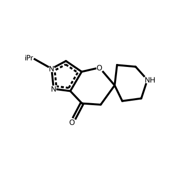 CC(C)n1cc2c(n1)C(=O)CC1(CCNCC1)O2